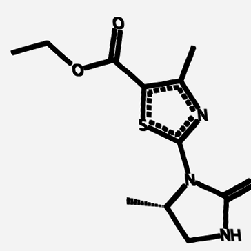 CCOC(=O)c1sc(N2C(=O)NC[C@@H]2C)nc1C